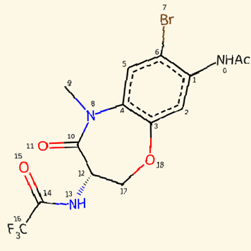 CC(=O)Nc1cc2c(cc1Br)N(C)C(=O)[C@@H](NC(=O)C(F)(F)F)CO2